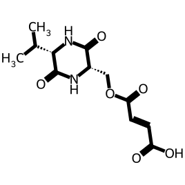 CC(C)[C@@H]1NC(=O)[C@H](COC(=O)/C=C/C(=O)O)NC1=O